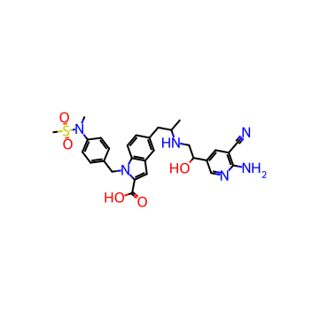 CC(Cc1ccc2c(c1)cc(C(=O)O)n2Cc1ccc(N(C)S(C)(=O)=O)cc1)NCC(O)c1cnc(N)c(C#N)c1